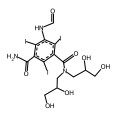 NC(=O)c1c(I)c(NC=O)c(I)c(C(=O)N(CC(O)CO)CC(O)CO)c1I